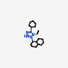 C=CN1C(c2ccccc2)=NNN1c1cccc2ccccc12